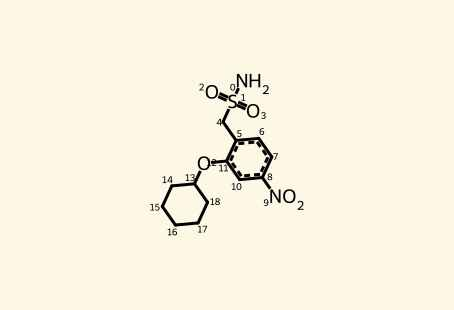 NS(=O)(=O)Cc1ccc([N+](=O)[O-])cc1OC1CCCCC1